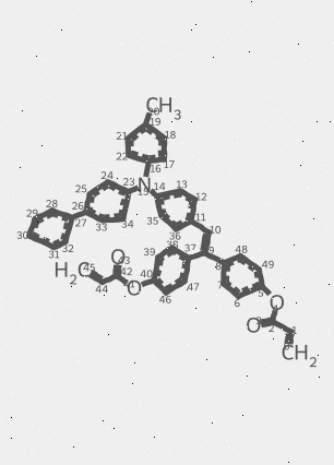 C=CC(=O)Oc1ccc(C(=Cc2ccc(N(c3ccc(C)cc3)c3ccc(-c4ccccc4)cc3)cc2)c2ccc(OC(=O)C=C)cc2)cc1